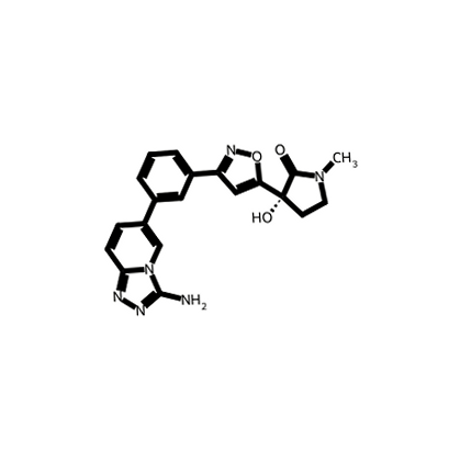 CN1CC[C@@](O)(c2cc(-c3cccc(-c4ccc5nnc(N)n5c4)c3)no2)C1=O